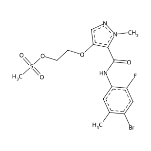 Cc1cc(NC(=O)c2c(OCCOS(C)(=O)=O)cnn2C)c(F)cc1Br